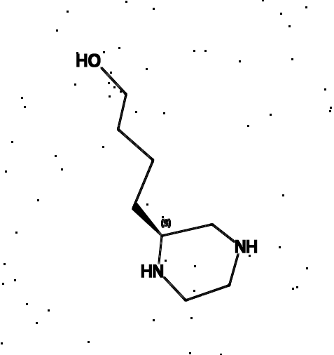 OCCCC[C@H]1CNCCN1